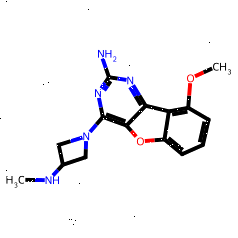 CNC1CN(c2nc(N)nc3c2oc2cccc(OC)c23)C1